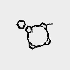 OC1=CC2=CC3=NC(=CC4=NC(=CC5=NC(=CC1=N2)C=C5)C=C4)C=C3.c1ccccc1